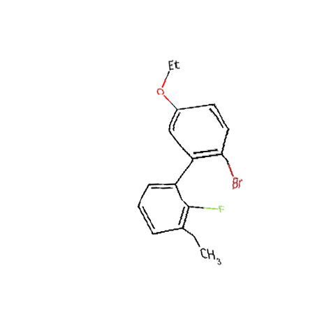 CCOc1ccc(Br)c(-c2cccc(C)c2F)c1